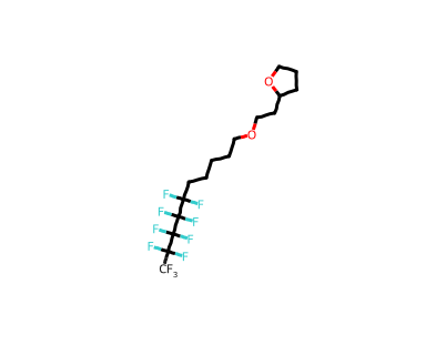 FC(F)(F)C(F)(F)C(F)(F)C(F)(F)C(F)(F)CCCCCOCCC1CCCO1